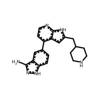 Nc1n[nH]c2ccc(-c3ccnc4[nH]c(CC5CCNCC5)cc34)cc12